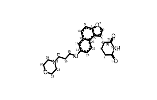 O=C1CC[C@H](c2coc3ccc4cc(OCCCN5CCOCC5)ccc4c23)C(=O)N1